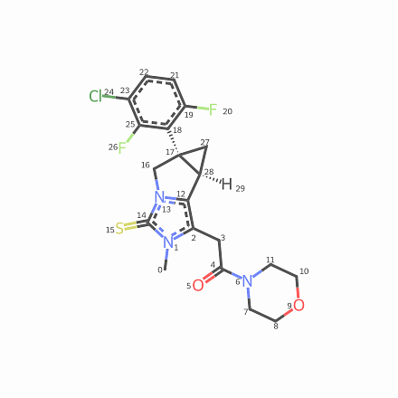 Cn1c(CC(=O)N2CCOCC2)c2n(c1=S)C[C@@]1(c3c(F)ccc(Cl)c3F)C[C@@H]21